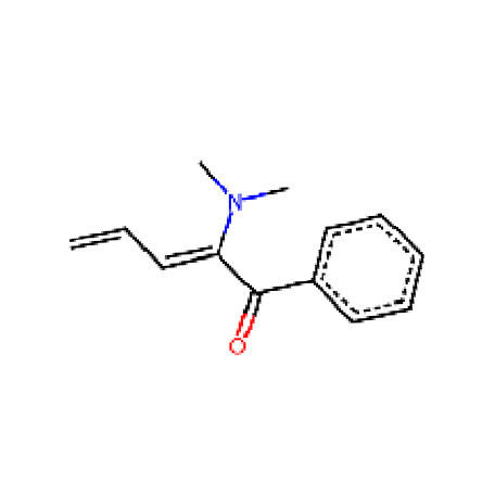 C=CC=C(C(=O)c1ccccc1)N(C)C